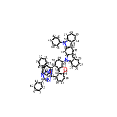 c1ccc(-c2nc(-c3ccccc3)nc(-c3cccc4oc5c(-n6c7ccccc7c7cc8c9ccccc9n(-c9ccccc9)c8cc76)ccc(-c6ccccc6)c5c34)n2)cc1